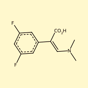 CN(C)/C=C(\C(=O)O)c1cc(F)cc(F)c1